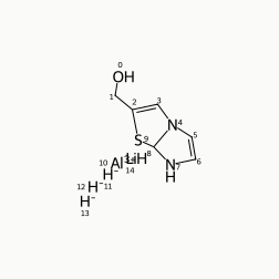 OCC1=CN2C=CNC2S1.[Al+3].[H-].[H-].[H-].[LiH]